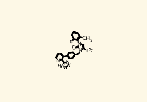 CCCc1cn(-c2c(C)cccc2F)c(=O)n1Cc1ccc(-c2cccnc2-c2nnn[nH]2)cc1